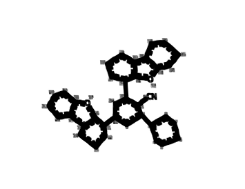 N#Cc1c(-c2ccccc2)cc(-c2cccc3c2oc2ccccc23)cc1-c1cccc2c1oc1ccccc12